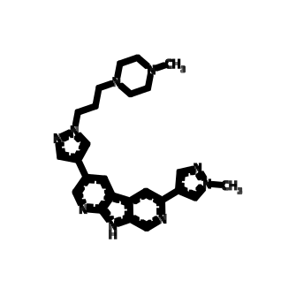 CN1CCN(CCCn2cc(-c3cnc4[nH]c5cnc(-c6cnn(C)c6)cc5c4c3)cn2)CC1